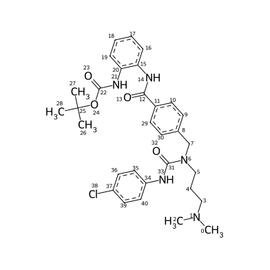 CN(C)CCCN(Cc1ccc(C(=O)Nc2ccccc2NC(=O)OC(C)(C)C)cc1)C(=O)Nc1ccc(Cl)cc1